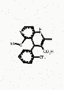 CCOc1nccc2c1C(c1ccccc1C(F)(F)F)C(C(=O)O)=C(C)N2